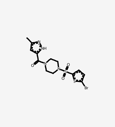 Cc1cc(C(=O)N2CCN(S(=O)(=O)c3ccc(Br)s3)CC2)[nH]n1